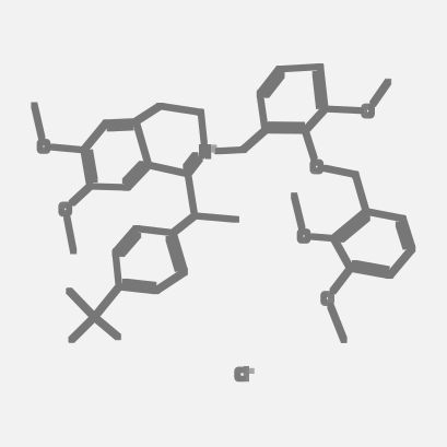 COc1cc2c(cc1OC)C(C(C)c1ccc(C(C)(C)C)cc1)=[N+](Cc1cccc(OC)c1OCc1cccc(OC)c1OC)CC2.[Cl-]